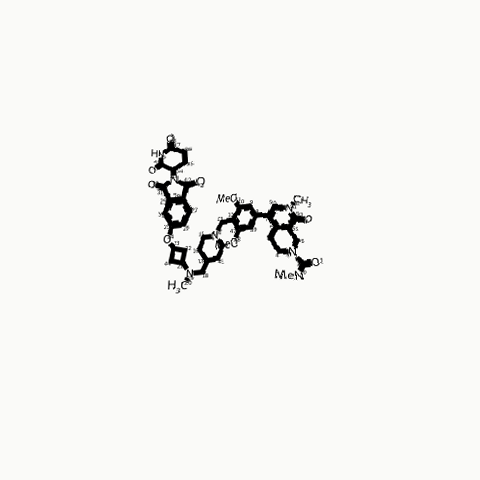 CNC(=O)N1CCc2c(-c3cc(OC)c(CN4CCC(CN(C)C5CC(Oc6ccc7c(c6)C(=O)N(C6CCC(=O)NC6=O)C7=O)C5)CC4)c(OC)c3)cn(C)c(=O)c2C1